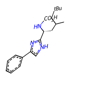 CC(C[C@@H](NC(=O)O)c1nc(-c2ccccc2)c[nH]1)CC(C)(C)C